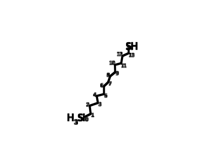 [SiH3]CCCCCCCCCCCCCS